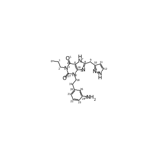 CCCn1c(=O)c2[nH]c(Cc3cc[nH]n3)nc2n(CCc2cccc(N)c2)c1=O